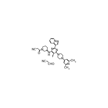 Cc1cc(N2CCN(c3nc(-c4cnn5ccccc45)nc(N[C@@H]4CCCN(C(=O)CC#N)C4)c3F)CC2)cc(C)n1.N#CCC=O